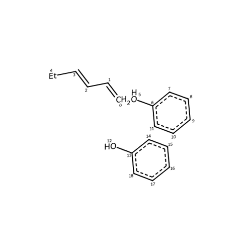 C=CC=CCC.Oc1ccccc1.Oc1ccccc1